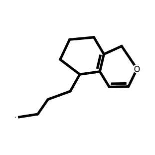 [CH2]CCCC1CCCC2=C1C=COC2